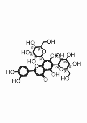 O=c1cc(-c2ccc(O)c(O)c2)oc2c([C@@H]3O[C@H](CO)[C@@H](O)[C@H](O)[C@H]3O)c(O)c([C@@H]3O[C@H](CO)[C@@H](O)[C@H](O)[C@H]3O)c(O)c12